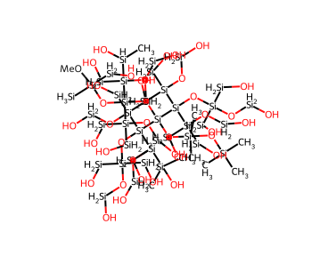 CO[Si]([SiH3])(O[Si](O[Si](O[Si](C)(C)O[Si](C)(C)C)([Si](O[Si](O[SiH2]O)([SiH2]O)[SiH2]O)([Si](O[SiH2]O)([SiH2]O)[SiH2]O)[Si](O[SiH2]O)([SiH2]O)[SiH2]O)[Si](O[Si](O[SiH2]O)([SiH2]O)[SiH2]O)([Si](O[SiH2]O)([SiH2]O)[SiH2]O)[Si](O[SiH2]O)([SiH2]O)[Si](C)(C)O)([Si](O[SiH2]O)([SiH2]O)[SiH2]O)[Si](O[SiH2]O)([SiH2]O)[SiH](C)O)[SiH2]O